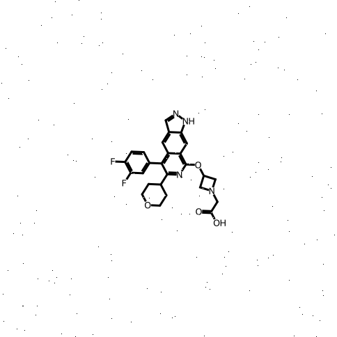 O=C(O)CN1CC(Oc2nc(C3CCOCC3)c(-c3ccc(F)c(F)c3)c3cc4cn[nH]c4cc23)C1